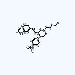 CCCCCN1CC[C@H](c2ccc([N+](=O)[O-])cc2)[C@@H](COc2ccc3c(c2)OCO3)C1